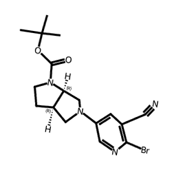 CC(C)(C)OC(=O)N1CC[C@@H]2CN(c3cnc(Br)c(C#N)c3)C[C@@H]21